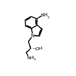 NC[C@@H](O)Cn1ccc2c(N)cccc21